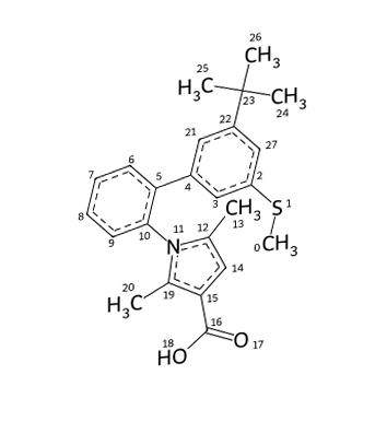 CSc1cc(-c2ccccc2-n2c(C)cc(C(=O)O)c2C)cc(C(C)(C)C)c1